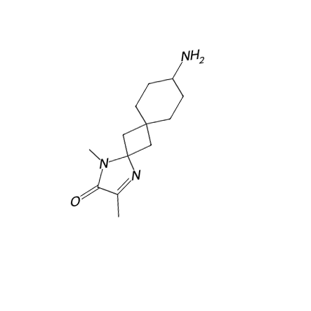 CC1=NC2(CC3(CCC(N)CC3)C2)N(C)C1=O